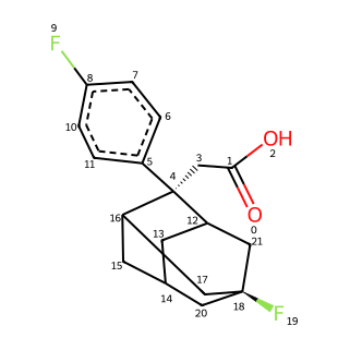 O=C(O)C[C@]1(c2ccc(F)cc2)C2CC3CC1C[C@@](F)(C3)C2